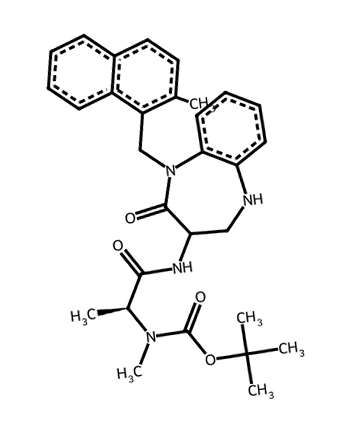 Cc1ccc2ccccc2c1CN1C(=O)C(NC(=O)[C@H](C)N(C)C(=O)OC(C)(C)C)CNc2ccccc21